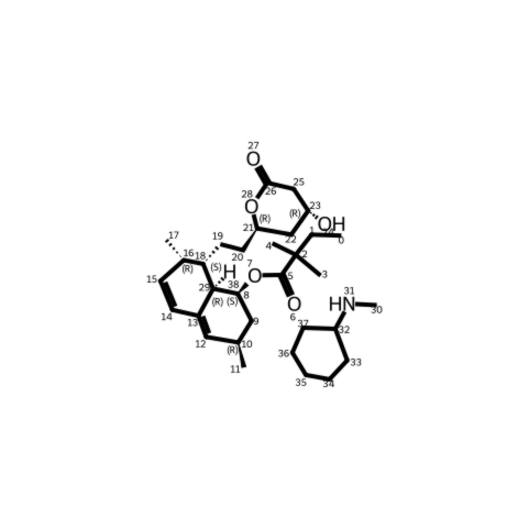 CCC(C)(C)C(=O)O[C@H]1C[C@@H](C)C=C2C=C[C@H](C)[C@H](CC[C@@H]3C[C@@H](O)CC(=O)O3)[C@H]21.CNC1CCCCC1